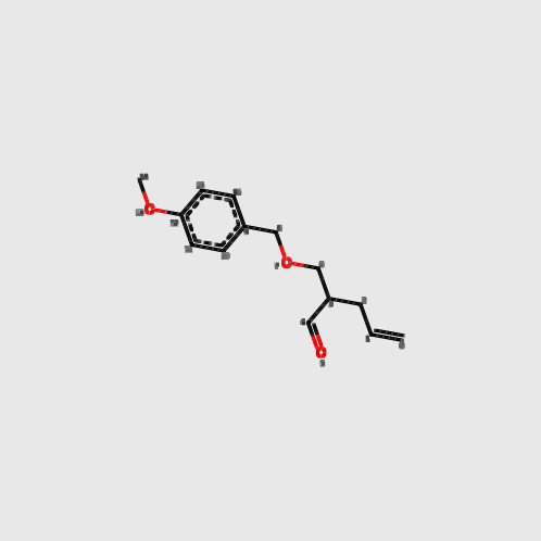 C=CCC(C=O)COCc1ccc(OC)cc1